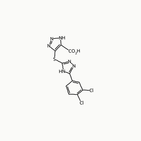 O=C(O)c1[nH]nnc1Sc1nnc(-c2ccc(Cl)c(Cl)c2)[nH]1